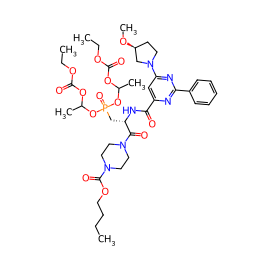 CCCCOC(=O)N1CCN(C(=O)[C@H](CP(=O)(OC(C)OC(=O)OCC)OC(C)OC(=O)OCC)NC(=O)c2cc(N3CC[C@H](OC)C3)nc(-c3ccccc3)n2)CC1